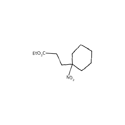 CCOC(=O)CCC1([N+](=O)[O-])CCCCC1